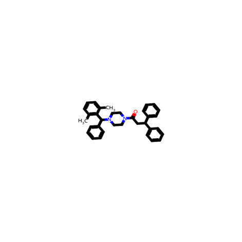 Cc1cccc(C)c1C(c1ccccc1)N1CCN(C(=O)CC(c2ccccc2)c2ccccc2)CC1